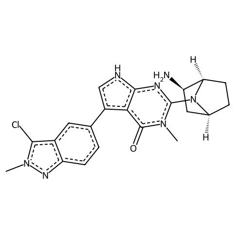 Cn1nc2ccc(-c3c[nH]c4nc(N5[C@H]6CC[C@@H]5[C@H](N)C6)n(C)c(=O)c34)cc2c1Cl